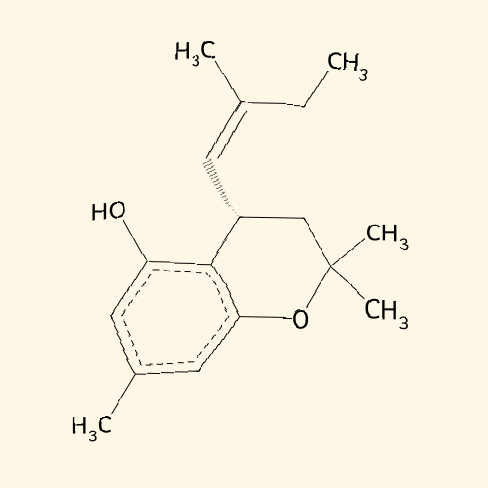 CC/C(C)=C\[C@@H]1CC(C)(C)Oc2cc(C)cc(O)c21